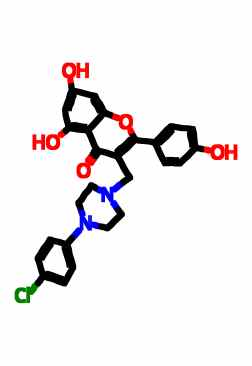 O=c1c(CN2CCN(c3ccc(Cl)cc3)CC2)c(-c2ccc(O)cc2)oc2cc(O)cc(O)c12